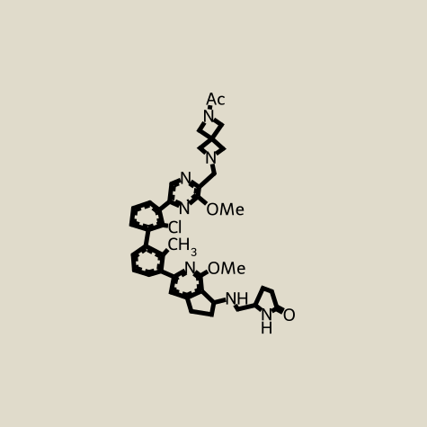 COc1nc(-c2cccc(-c3cccc(-c4cc5c(c(OC)n4)C(NCC4CCC(=O)N4)CC5)c3C)c2Cl)cnc1CN1CC2(C1)CN(C(C)=O)C2